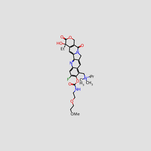 CC[C@@]1(O)C(=O)OCc2c1cc1n(c2=O)Cc2cc3c(C[N+](C)(C)C(C)C)c(OC(=O)NCCOCCOC)c(F)cc3nc2-1